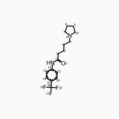 O=C(CCCCN1CCCC1)Nc1ccc(C(F)(F)F)cc1